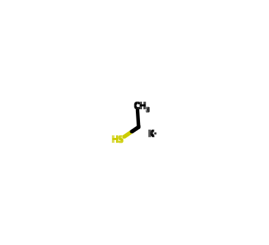 CCS.[K]